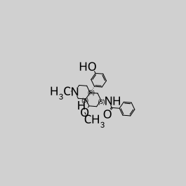 COC1C[C@@H](NC(=O)c2ccccc2)C[C@]2(c3cccc(O)c3)CCN(C)C[C@@H]12